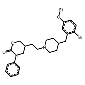 CCOc1ccc(Br)c(CC2CCN(CCC3COC(=O)N(c4ccccc4)C3)CC2)c1